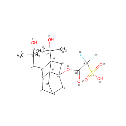 CC(C)(O)CC1C2CC3CC(OC(=O)C(F)(F)S(=O)(=O)O)(C2)CC1(C(C)(C)O)C3